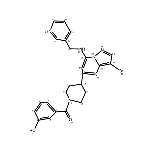 O=C(c1cccc(O)c1)N1CCC(c2cc(NCc3cccnc3)n3ncc(Br)c3n2)CC1